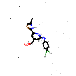 Cc1csc(-c2cc(CO)cc(NC3CCC(F)(F)CC3)n2)n1